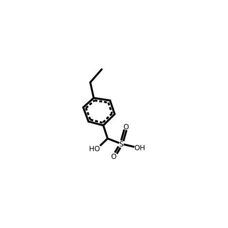 CCc1ccc(C(O)S(=O)(=O)O)cc1